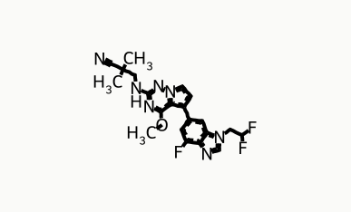 COc1nc(NCC(C)(C)C#N)nn2ccc(-c3cc(F)c4ncn(CC(F)F)c4c3)c12